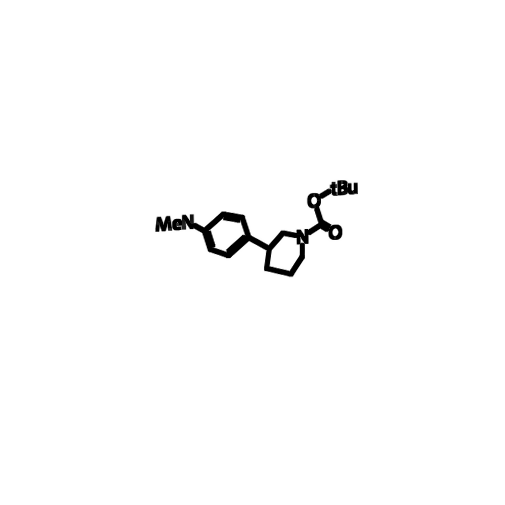 CNc1ccc(C2CCCN(C(=O)OC(C)(C)C)C2)cc1